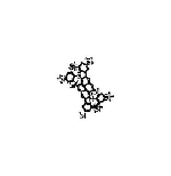 C[Si](C)(C)c1cc2c(c([Si](C)(C)C)c1)B(c1c([Si](C)(C)C)cc([Si](C)(C)C)cc1[Si](C)(C)C)c1c-2cc2ccc3c4c(cc5ccc1c2c53)-c1cc([Si](C)(C)C)cc([Si](C)(C)C)c1B4c1c([Si](C)(C)C)cc([Si](C)(C)C)cc1[Si](C)(C)C